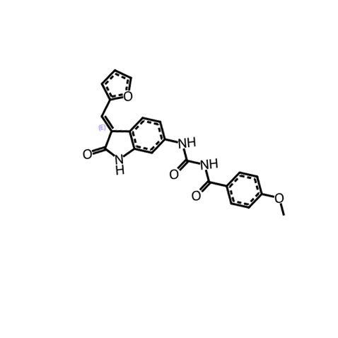 COc1ccc(C(=O)NC(=O)Nc2ccc3c(c2)NC(=O)/C3=C/c2ccco2)cc1